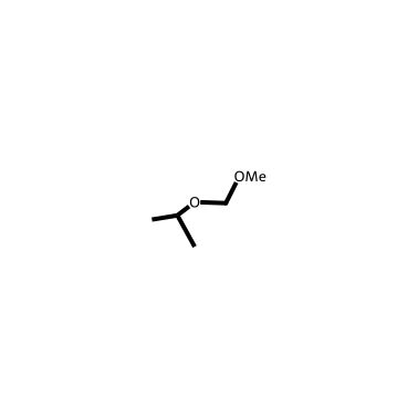 [CH2]OCOC(C)C